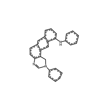 C1=Nc2ccc3cc4cccc(Nc5ccccc5)c4cc3c2CN1c1ccccc1